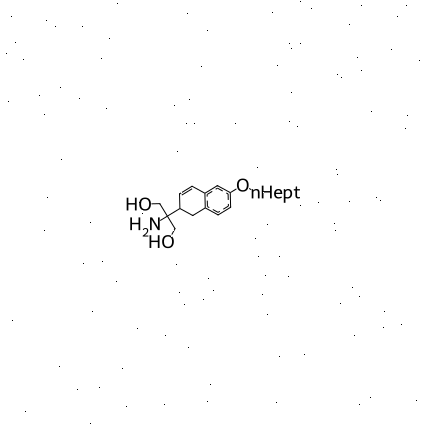 CCCCCCCOc1ccc2c(c1)C=CC(C(N)(CO)CO)C2